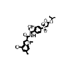 Cc1cc(Cl)c2cc(C(=O)N[C@H](CO)c3ccc(S(=O)(=O)CC(=O)OC(C)C)cc3)n(C)c2c1